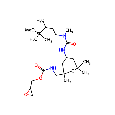 CO[Si](C)(C)C(C)CCN(C)C(=O)NC1CC(C)(C)CC(C)(CNC(=O)OCC2CO2)C1